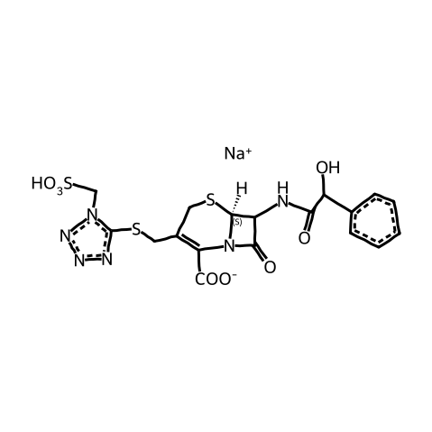 O=C([O-])C1=C(CSc2nnnn2CS(=O)(=O)O)CS[C@H]2C(NC(=O)C(O)c3ccccc3)C(=O)N12.[Na+]